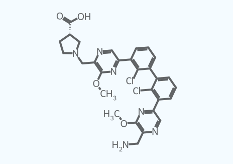 COc1nc(-c2cccc(-c3cccc(-c4cnc(CN5CC[C@H](C(=O)O)C5)c(OC)n4)c3Cl)c2Cl)cnc1CN